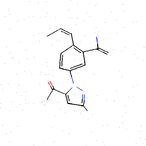 C=C(N)c1cc(-n2nc(C(F)(F)F)cc2C(=O)CCC)ccc1/C=C\C